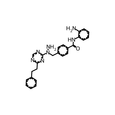 Nc1ccccc1NC(=O)c1ccc(CN(N)c2ncnc(CCc3ccccc3)n2)cc1